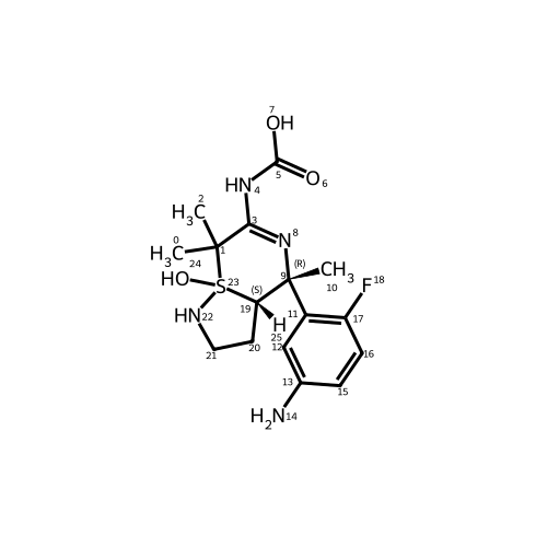 CC1(C)C(NC(=O)O)=N[C@](C)(c2cc(N)ccc2F)[C@@H]2CCNS21O